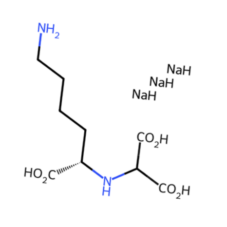 NCCCC[C@H](NC(C(=O)O)C(=O)O)C(=O)O.[NaH].[NaH].[NaH]